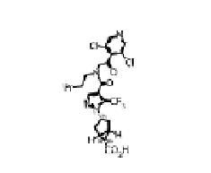 CC(C)CCN(CC(=O)c1c(Cl)cncc1Cl)C(=O)c1cnn([C@H]2C[C@@H]3[C@H](C2)[C@H]3C(=O)O)c1C(F)(F)F